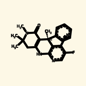 CN1C(=O)C2=C(CC1(C)C)Nc1ncc(F)c(C#N)c1[C@]2(C)c1ccccc1